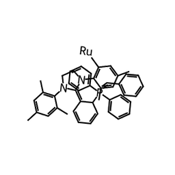 Cc1cc(C)c(N2CCN(c3c(C)cc(C)cc3C)C2=C2C=CC=CC2P(=Cc2ccccc2)(c2ccccc2)c2ccccc2)c(C)c1.[Ru]